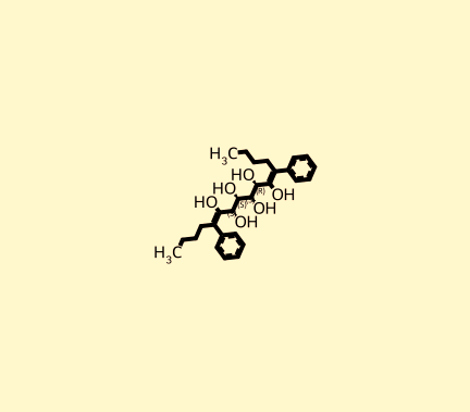 CCCCC(=C(O)[C@@H](O)[C@@H](O)[C@H](O)[C@@H](O)C(O)=C(CCCC)c1ccccc1)c1ccccc1